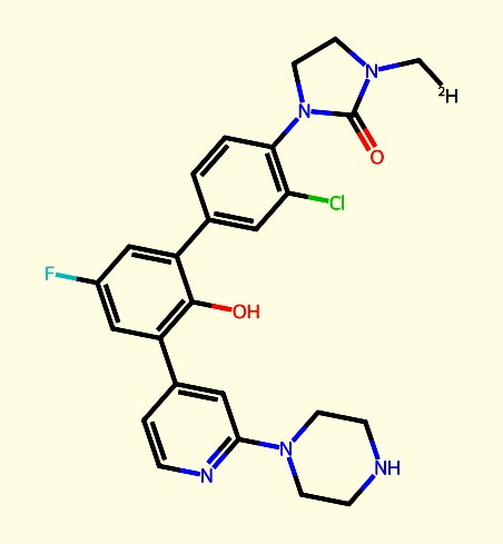 [2H]CN1CCN(c2ccc(-c3cc(F)cc(-c4ccnc(N5CCNCC5)c4)c3O)cc2Cl)C1=O